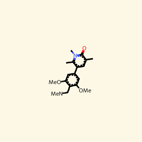 CNCc1c(OC)cc(-c2cc(C)c(=O)n(C)c2C)cc1OC